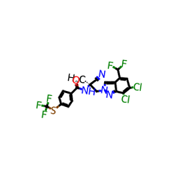 C[C@](C#N)(Cn1cc2c(C(F)F)cc(Cl)c(Cl)c2n1)NC(=O)c1ccc(SC(F)(F)F)cc1